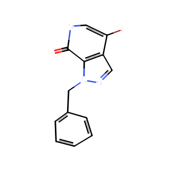 O=c1[nH]cc(Br)c2cnn(Cc3ccccc3)c12